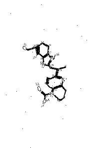 CC(c1ccc2c(n1)CCCN2C(=O)O)c1nc2ccc(Cl)cc2[nH]1